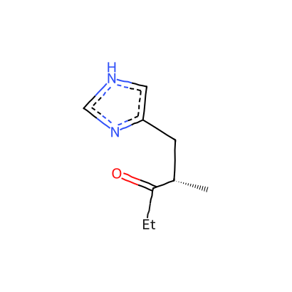 CCC(=O)[C@@H](C)Cc1c[nH]cn1